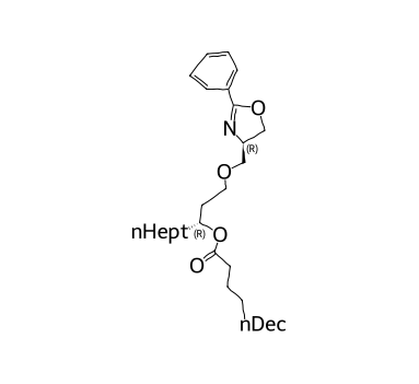 CCCCCCCCCCCCCC(=O)O[C@H](CCCCCCC)CCOC[C@@H]1COC(c2ccccc2)=N1